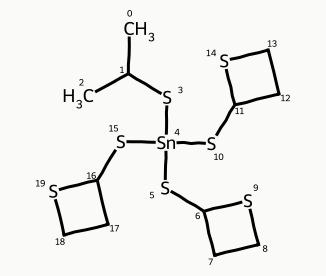 CC(C)[S][Sn]([S]C1CCS1)([S]C1CCS1)[S]C1CCS1